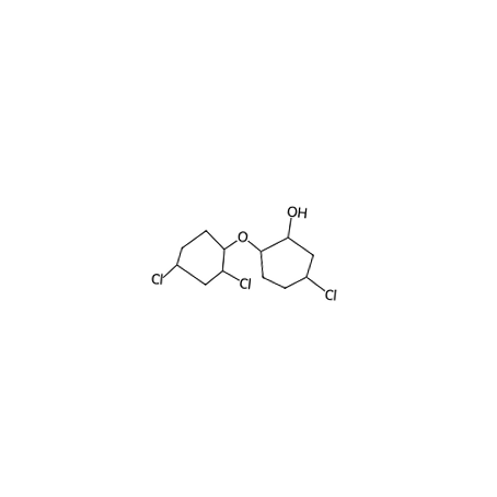 OC1CC(Cl)CCC1OC1CCC(Cl)CC1Cl